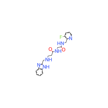 O=C(CCNCc1nc2ccccc2[nH]1)NCC(=O)NCc1ncccc1F